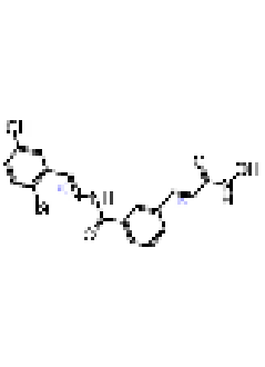 O=C(/C=C/c1cccc(C(=O)N/N=C/c2cc(O)ccc2Br)c1)NO